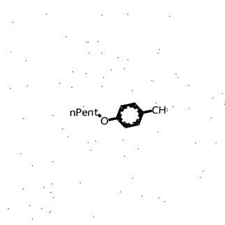 [CH]c1ccc(OCCCCC)cc1